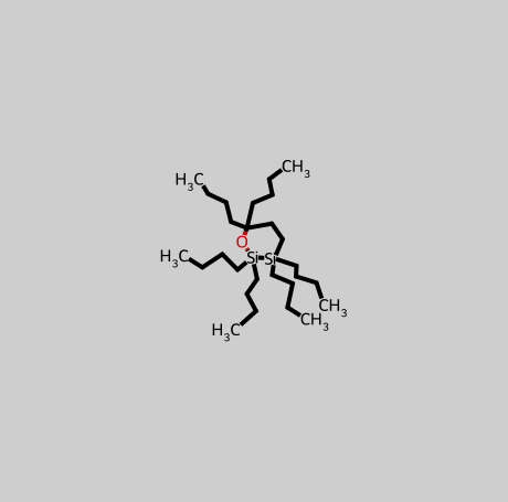 CCCCC1(CCCC)CC[Si](CCCC)(CCCC)[Si](CCCC)(CCCC)O1